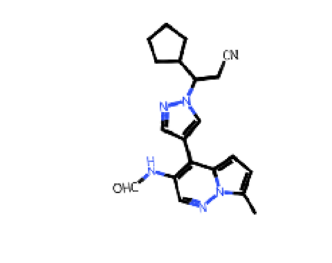 Cc1ccc2c(-c3cnn(C(CC#N)C4CCCC4)c3)c(NC=O)cnn12